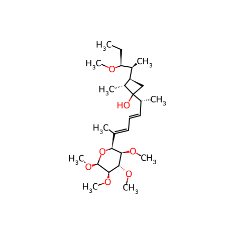 CC[C@H](OC)[C@@H](C)[C@H]1CC(O)([C@H](C)/C=C/C=C(\C)[C@@H]2O[C@H](OC)[C@H](OC)[C@@H](OC)[C@@H]2OC)[C@@H]1C